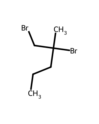 CCCC(C)(Br)CBr